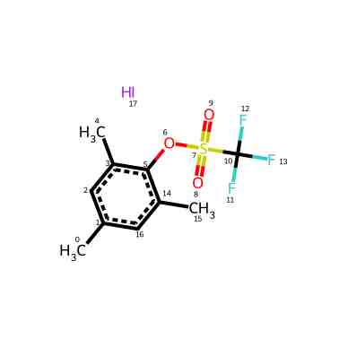 Cc1cc(C)c(OS(=O)(=O)C(F)(F)F)c(C)c1.I